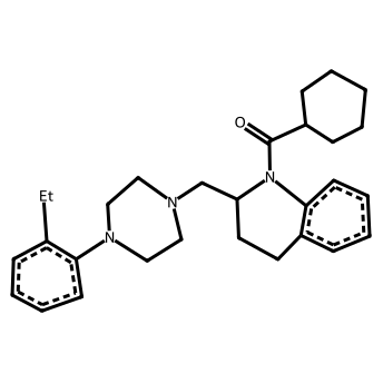 CCc1ccccc1N1CCN(CC2CCc3ccccc3N2C(=O)C2CCCCC2)CC1